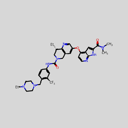 CC[C@H]1CN(C(=O)Nc2ccc(CN3CCN(CC)CC3)c(C(F)(F)F)c2)Cc2cc(Oc3ccnc4[nH]c(C(=O)N(C)C)cc34)cnc21